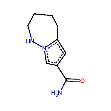 NC(=O)c1cc2n(c1)NCCCC2